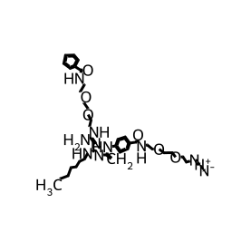 C=C(/N=C(\N=C(/N)NCCOCCOCCNC(=O)c1ccccc1)NCCCCCCC)Nc1ccc(C(=O)NCCOCCOCCN=[N+]=[N-])cc1